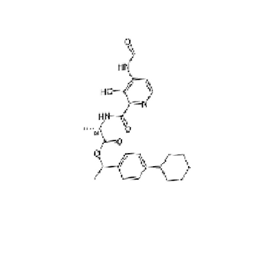 CC(OC(=O)[C@H](C)NC(=O)c1nccc(NC=O)c1O)c1ccc(C2CCCCC2)cc1